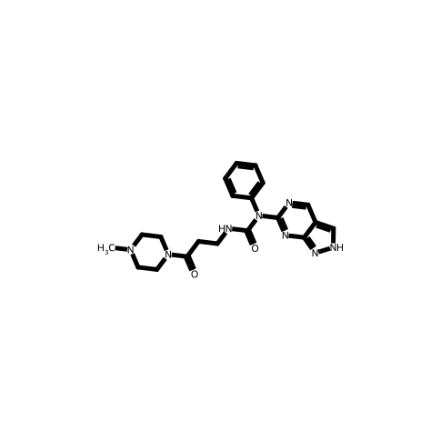 CN1CCN(C(=O)CCNC(=O)N(c2ccccc2)c2ncc3c[nH]nc3n2)CC1